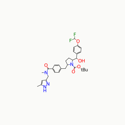 Cc1cc(CN(C)C(=O)c2ccc(CC3CCC(C(O)c4ccc(OC(F)F)cc4)N3C(=O)OC(C)(C)C)cc2)n[nH]1